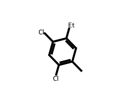 CCc1cc(C)c(Cl)cc1Cl